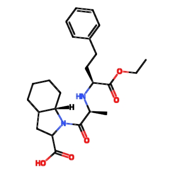 CCOC(=O)[C@H](CCc1ccccc1)N[C@@H](C)C(=O)N1C(C(=O)O)CC2CCCC[C@@H]21